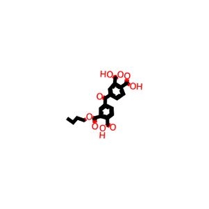 CCCCOC(=O)c1cc(C(=O)c2ccc(C(=O)O)c(C(=O)O)c2)ccc1C(=O)O